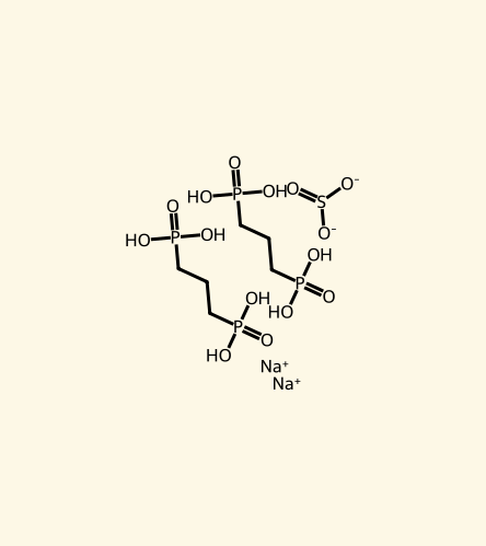 O=P(O)(O)CCCP(=O)(O)O.O=P(O)(O)CCCP(=O)(O)O.O=S([O-])[O-].[Na+].[Na+]